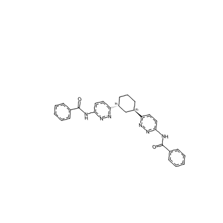 O=C(Nc1ccc([C@@H]2CCC[C@@H](c3ccc(NC(=O)c4ccccc4)nn3)C2)nn1)c1ccccc1